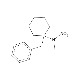 CN([N+](=O)[O-])C1(Cc2ccccc2)CCCCC1